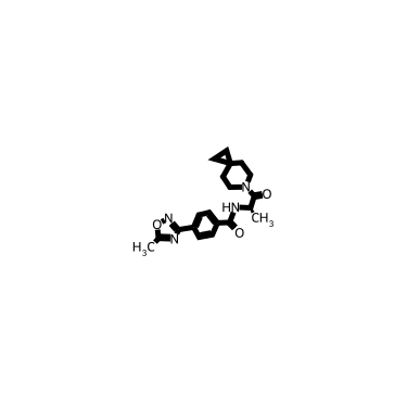 Cc1nc(-c2ccc(C(=O)N[C@H](C)C(=O)N3CCC4(CC3)CC4)cc2)no1